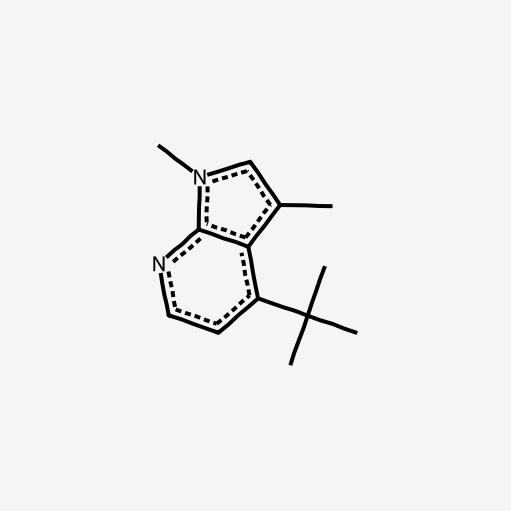 Cc1cn(C)c2nccc(C(C)(C)C)c12